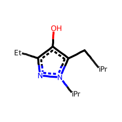 CCc1nn(C(C)C)c(CC(C)C)c1O